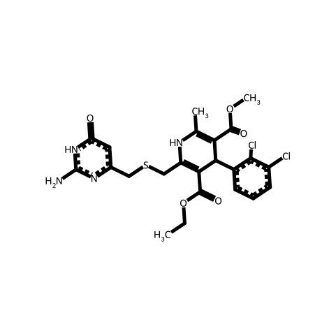 CCOC(=O)C1=C(CSCc2cc(=O)[nH]c(N)n2)NC(C)=C(C(=O)OC)C1c1cccc(Cl)c1Cl